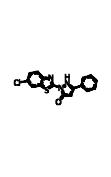 O=c1cc(-c2ccccc2)[nH]n1-c1nc2ccc(Cl)cc2s1